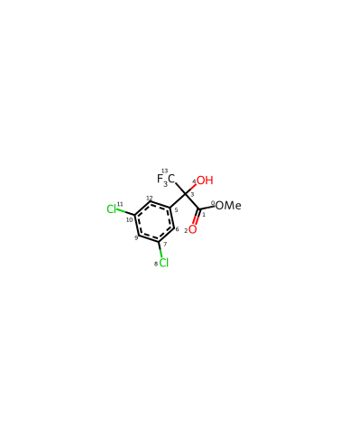 COC(=O)C(O)(c1cc(Cl)cc(Cl)c1)C(F)(F)F